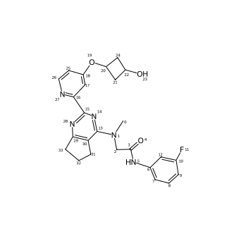 CN(CC(=O)Nc1cccc(F)c1)c1nc(-c2cc(OC3CC(O)C3)ccn2)nc2c1CCC2